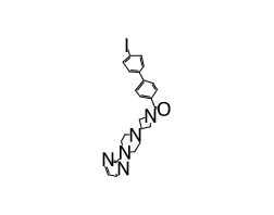 O=C(c1ccc(-c2ccc(I)cc2)cc1)N1CC(N2CCN(c3ncccn3)CC2)C1